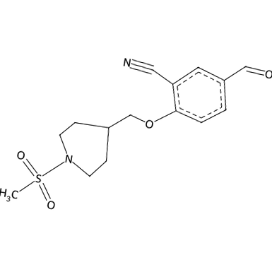 CS(=O)(=O)N1CCC(COc2ccc(C=O)cc2C#N)CC1